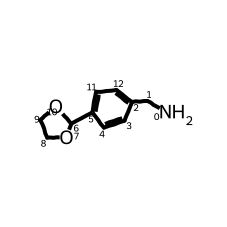 NCc1ccc(C2OCCO2)cc1